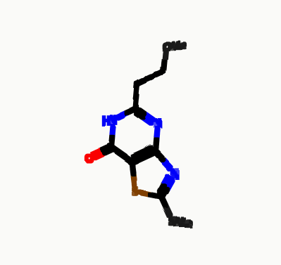 COCCc1nc2nc(SC)sc2c(=O)[nH]1